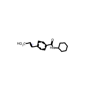 O=C(O)/C=C/c1ccc(C(=O)NC2CCCCC2)cc1